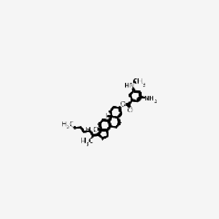 CCCCCC(C)C1CCC2C3CCC4CC(OC(=O)C5C=C(N)C=C(NC)C5)CCC4(I)C3CCC12C